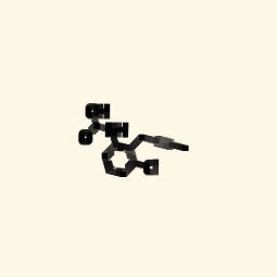 CC#CCc1c(Cl)cccc1NC(=O)O